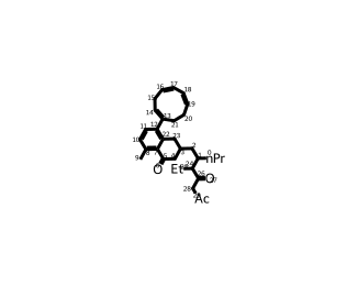 CCCC(CC1CC(=O)c2c(C)ccc(/C3=C/C/C=C\C=C/CC3)c2C1)C(CC)C(=O)CC(C)=O